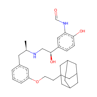 C[C@H](Cc1cccc(OCCC23CC4CC(CC(C4)C2)C3)c1)NC[C@H](O)c1ccc(O)c(NC=O)c1